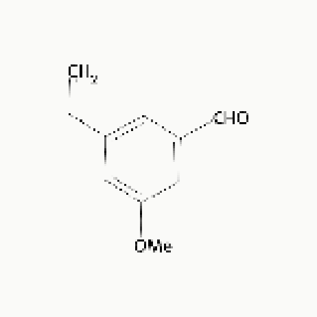 C=Cc1cc(C=O)cc(OC)c1